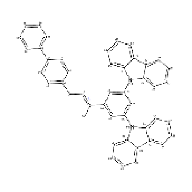 C/C(=C\Cc1ccc(-c2ccccc2)cc1)c1cc(-n2c3ccccc3c3ccccc32)cc(-n2c3ccccc3c3ccccc32)c1